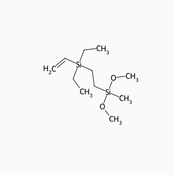 C=C[Si](CC)(CC)CC[Si](C)(OC)OC